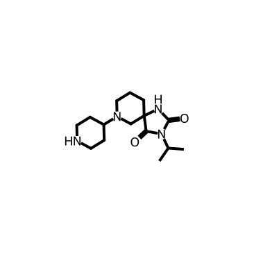 CC(C)N1C(=O)NC2(CCCN(C3CCNCC3)C2)C1=O